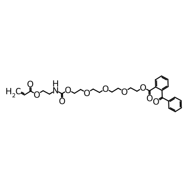 C=CC(=O)OCCNC(=O)OCCOCCOCCOCCOC(=O)c1ccccc1C(=O)c1ccccc1